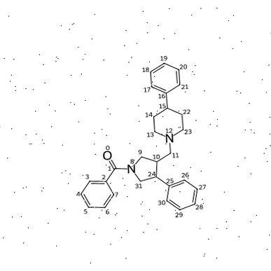 O=C(c1ccccc1)N1CC(CN2CCC(c3ccccc3)CC2)C(c2ccccc2)C1